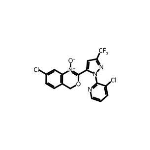 [O-][N+]1=C(c2cc(C(F)(F)F)nn2-c2ncccc2Cl)OCc2ccc(Cl)cc21